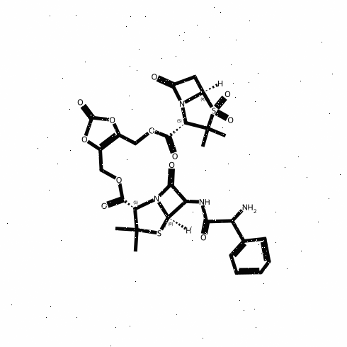 CC1(C)S[C@@H]2C(NC(=O)C(N)c3ccccc3)C(=O)N2[C@H]1C(=O)OCc1oc(=O)oc1COC(=O)[C@@H]1N2C(=O)C[C@H]2S(=O)(=O)C1(C)C